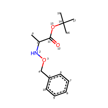 CC(NOCc1ccccc1)C(=O)OC(C)(C)C